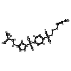 [N-]=[N+]=NCCCS(=O)(=O)c1ccc(S(=O)(=O)c2ccc(COC(N)=O)s2)cc1